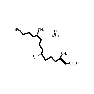 C/C(=C\C(=O)O)CCC[C@H](C)CCC[C@H](C)CCCC(C)C.[KH].[NaH]